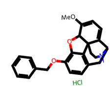 COC1=CC=C2C3Cc4ccc(OCc5ccccc5)c5c4C2(CCN3)C1O5.Cl